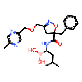 Cc1cnc(COCC2=NOC(Cc3ccccc3)(C(=O)NC(CC(C)C)B(O)O)C2)cn1